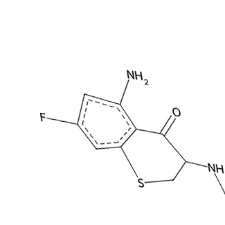 CNC1CSc2cc(F)cc(N)c2C1=O